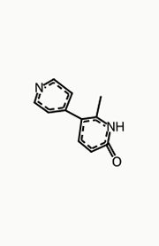 Cc1[nH]c(=O)ccc1-c1ccncc1